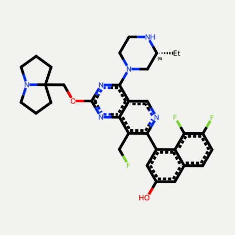 CC[C@@H]1CN(c2nc(OCC34CCCN3CCC4)nc3c(CF)c(-c4cc(O)cc5ccc(F)c(F)c45)ncc23)CCN1